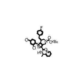 CC(NC(=O)c1nn(-c2ccc(Cl)cc2Cl)c2c1CN(C(=O)OC(C)(C)C)C/C2=C\c1ccc(F)cc1)c1ccccn1